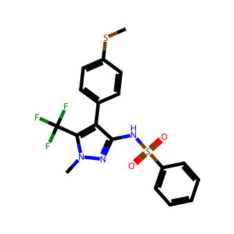 CSc1ccc(-c2c(NS(=O)(=O)c3ccccc3)nn(C)c2C(F)(F)F)cc1